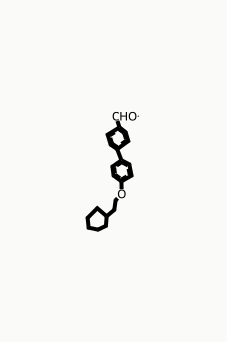 O=[C]c1ccc(-c2ccc(OCCC3CCCCC3)cc2)cc1